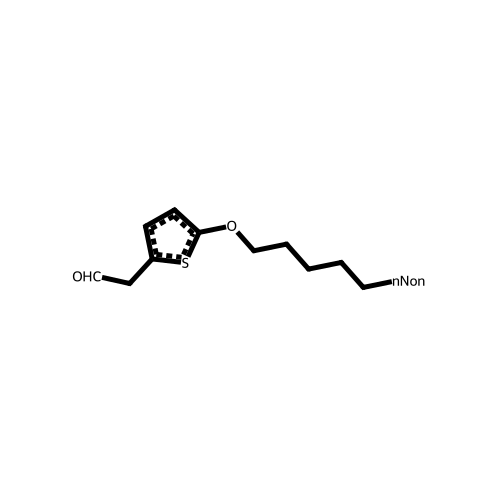 CCCCCCCCCCCCCCOc1ccc(CC=O)s1